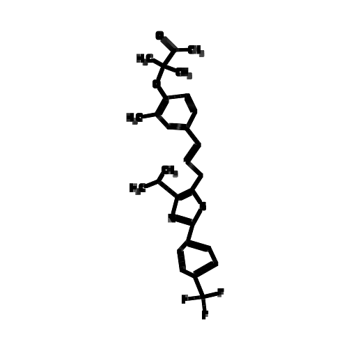 CC(=O)C(C)(C)Oc1ccc(/C=C/Cc2sc(-c3ccc(C(F)(F)F)cc3)nc2C(C)C)cc1C